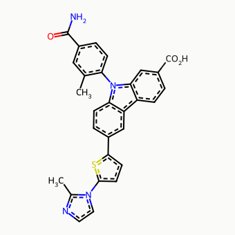 Cc1cc(C(N)=O)ccc1-n1c2ccc(-c3ccc(-n4ccnc4C)s3)cc2c2ccc(C(=O)O)cc21